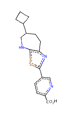 O=C(O)c1ccc(-c2nc3c(s2)NCC(C2CCC2)CC3)cn1